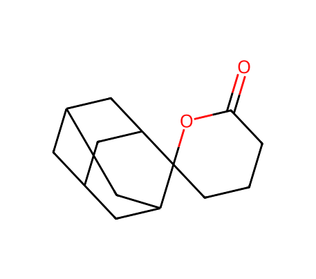 O=C1CCCC2(O1)C1CC3CC(C1)CC2C3